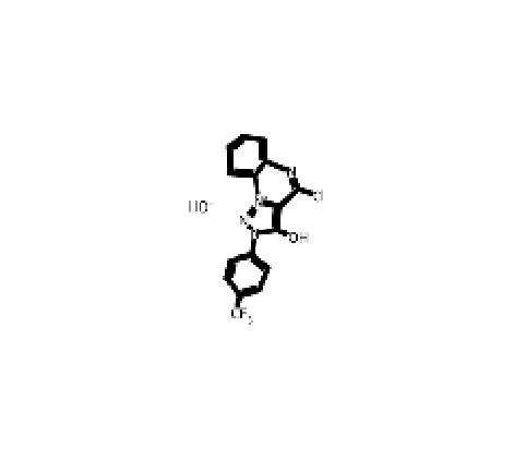 Oc1c2c(Cl)nc3ccccc3[n+]2nn1-c1ccc(C(F)(F)F)cc1.[OH-]